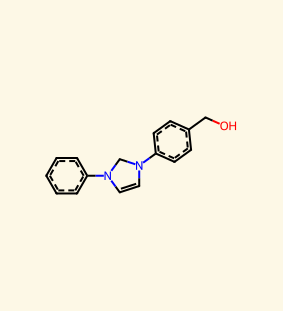 OCc1ccc(N2C=CN(c3ccccc3)C2)cc1